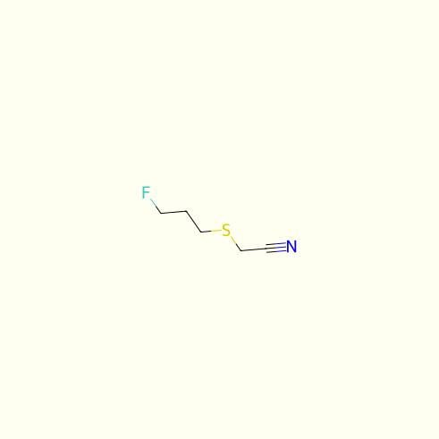 N#CCSCCCF